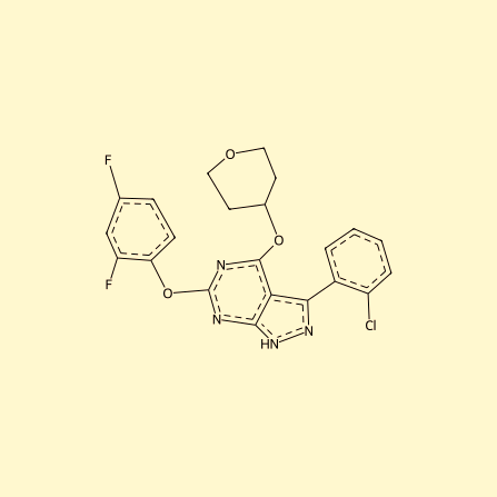 Fc1ccc(Oc2nc(OC3CCOCC3)c3c(-c4ccccc4Cl)n[nH]c3n2)c(F)c1